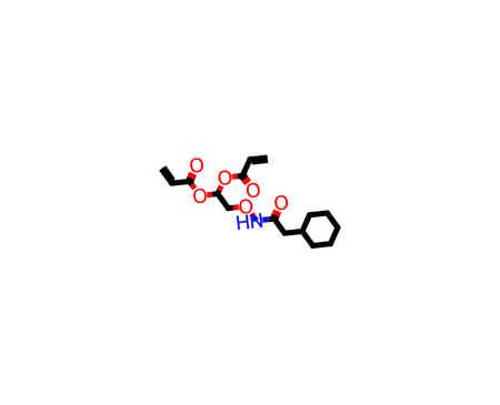 C=CC(=O)OC(CONC(=O)CC1CCCCC1)OC(=O)C=C